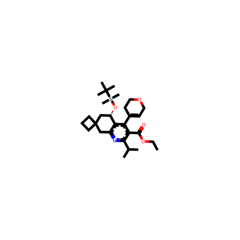 CCOC(=O)c1c(C(C)C)nc2c(c1C1=CCOCC1)[C@@H](O[Si](C)(C)C(C)(C)C)CC1(CCC1)C2